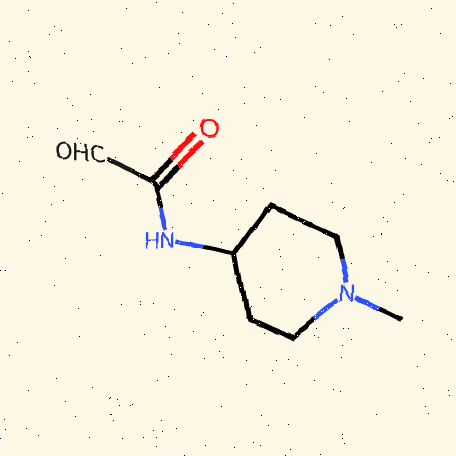 CN1CCC(NC(=O)C=O)CC1